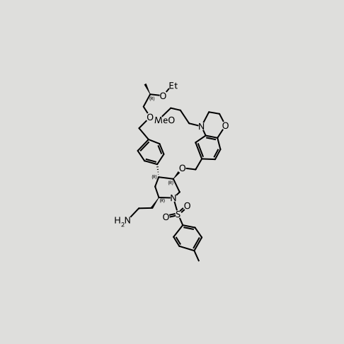 CCO[C@H](C)COCc1ccc([C@H]2C[C@H](CCN)N(S(=O)(=O)c3ccc(C)cc3)C[C@@H]2OCc2ccc3c(c2)N(CCCOC)CCO3)cc1